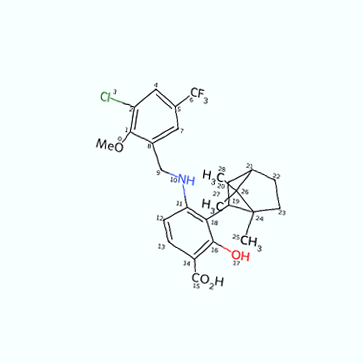 COc1c(Cl)cc(C(F)(F)F)cc1CNc1ccc(C(=O)O)c(O)c1C1CC2CCC1(C)C2(C)C